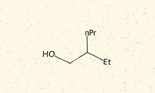 [CH2]CC(CO)CCC